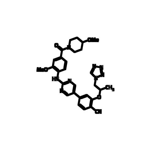 COc1cc(C(=O)N2CCC(OC)CC2)ccc1Nc1ncc(-c2ccc(C#N)c(OC(C)Cn3cnnn3)c2)cn1